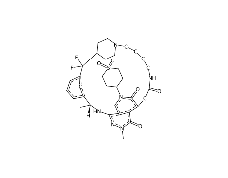 C[C@H]1Nc2nn(C)c(=O)c3c(c(=O)n(C4CCS(=O)(=O)CC4)cc23)CC(=O)NCCCCN2CCC(CC2)C(F)(F)c2cccc1c2